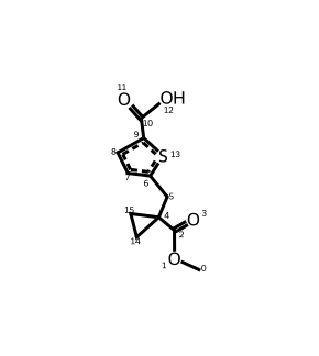 COC(=O)C1(Cc2ccc(C(=O)O)s2)CC1